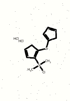 C[Si](C)(Cl)C1=[C]([Zr][C]2=CC=CC2)CC=C1.Cl.Cl